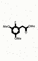 COC(=O)Cc1cc(OC)cc(OC)c1F